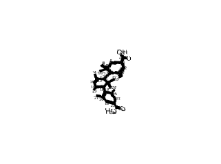 CC1=CC(C(=O)O)=CC(C)(C)C1C1C(C)=CC(C)=C(c2c(C)cc(C(=O)O)cc2C)C1(C)C